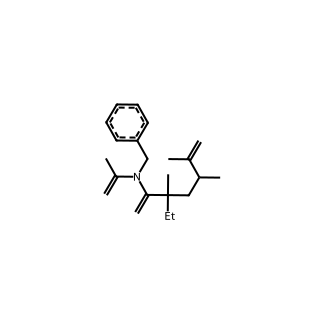 C=C(C)C(C)CC(C)(CC)C(=C)N(Cc1ccccc1)C(=C)C